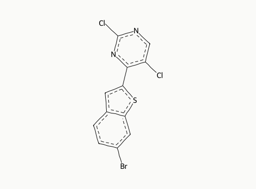 Clc1ncc(Cl)c(-c2cc3ccc(Br)cc3s2)n1